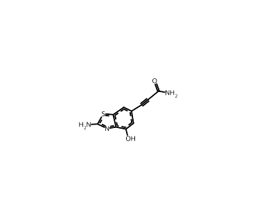 NC(=O)C#Cc1cc(O)c2nc(N)sc2c1